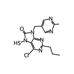 CCCc1nc(Cl)c2c(n1)n(Cc1cnc(C)nc1)c(=O)n2S